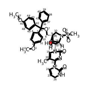 COc1ccc(C(OC[C@@]23CN(S(C)(=O)=O)[C@@H]([C@H](n4cc(C)c(N5C=CCNC5=O)nc4=O)O2)[C@@H]3O)(c2ccccc2)c2ccc(OC)cc2)cc1